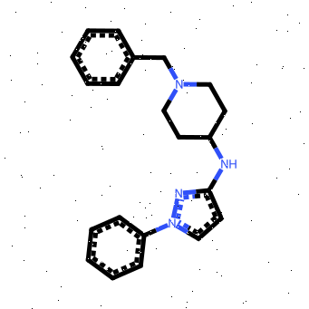 c1ccc(CN2CCC(Nc3ccn(-c4ccccc4)n3)CC2)cc1